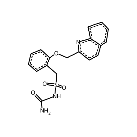 NC(=O)NS(=O)(=O)Cc1ccccc1OCc1ccc2ccccc2n1